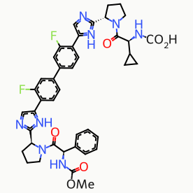 COC(=O)N[C@@H](C(=O)N1CCC[C@H]1c1ncc(-c2ccc(-c3ccc(-c4cnc([C@@H]5CCCN5C(=O)[C@@H](NC(=O)O)C5CC5)[nH]4)c(F)c3)cc2F)[nH]1)c1ccccc1